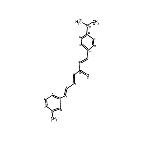 Cc1cccc(/C=C/C=C/C(=O)/C=C/c2ccc(N(C)C)cc2)c1